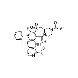 C=CC(=O)N1CCN2C(=N)c3c(Nc4c(C)ccnc4C(C)O)c(F)c(-c4ccccc4F)c(F)c3S(=O)(=O)CC2C1